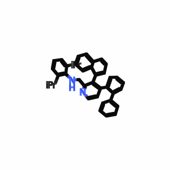 CC(C)c1cccc(C(C)C)c1NCc1nccc(-c2ccccc2-c2ccccc2)c1-c1cccc2ccccc12